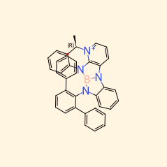 C[C@@H]1c2ccccc2N2B3N(c4ccccc4N3c3c(-c4ccccc4)cccc3-c3ccccc3)c3ccc[n+]1c32